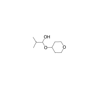 C[C](C)C(O)OC1CCOCC1